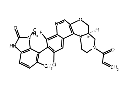 C=CC(=O)N1CCN2c3c(cnc4c(F)c(-c5c(C)ccc6[nH]c(=O)n(C)c56)c(Cl)cc34)OC[C@H]2C1